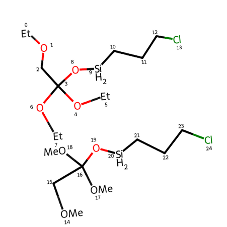 CCOCC(OCC)(OCC)O[SiH2]CCCCl.COCC(OC)(OC)O[SiH2]CCCCl